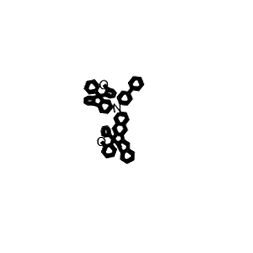 c1ccc(-c2ccc(N(c3ccc4c(c3)C3(c5ccccc5Oc5ccccc53)c3ccccc3-4)c3ccc4cc5c(cc4c3)C3(c4ccccc4Oc4ccccc43)c3cc4ccccc4cc3-5)cc2)cc1